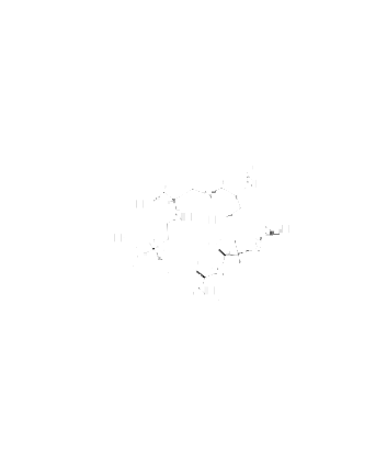 CCC(Br)(CC)C(=O)NC(N)=O.CCNC(CO)CNCC(CO)NCCC(C(=O)O)(C(=O)O)C(=O)O.[NaH].[NaH]